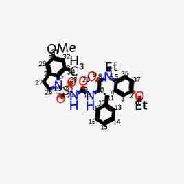 CCOc1ccc(N(CC)C(=O)[C@H](Cc2ccccc2)NC(=O)NS(=O)(=O)N2CCc3cc(OC)cc(C)c32)cc1